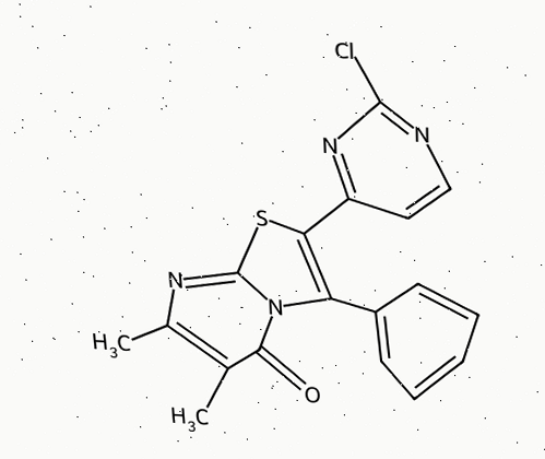 Cc1nc2sc(-c3ccnc(Cl)n3)c(-c3ccccc3)n2c(=O)c1C